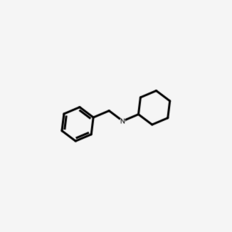 c1ccc(C[N]C2CCCCC2)cc1